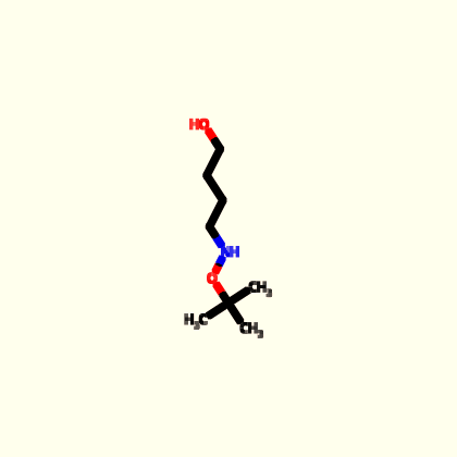 CC(C)(C)ONCCCCO